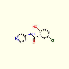 O=C(Nc1ccncc1)c1cc(Cl)ccc1O